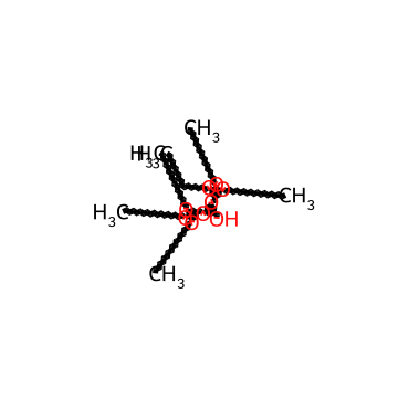 CCCCCCCCCCCCCCCCCCOc1cc(COc2cc(CO)cc(OCc3cc(OCCCCCCCCCCCCCCCCCC)c(OCCCCCCCCCCCCCCCCCC)c(OCCCCCCCCCCCCCCCCCC)c3)c2)cc(OCCCCCCCCCCCCCCCCCC)c1OCCCCCCCCCCCCCCCCCC